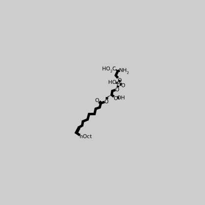 CCCCCCCC/C=C\CCCCCCCC(=O)OC[C@H](COP(=O)(O)OC[C@H](N)C(=O)O)OO